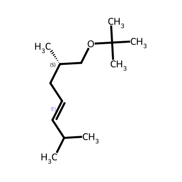 CC(C)/C=C/C[C@H](C)COC(C)(C)C